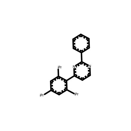 CC(C)c1cc(C(C)C)c(-c2ccnc(-c3ccccc3)n2)c(C(C)C)c1